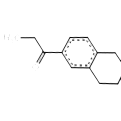 CCC(=O)c1ccc2c(c1)CCCC2